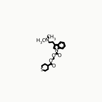 CN(C)CCc1cn(C(=O)OCOC(=O)C2CCSCC2)c2ccccc12